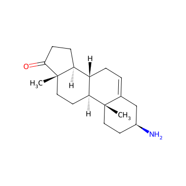 C[C@]12CC[C@H](N)CC1=CC[C@@H]1[C@@H]2CC[C@]2(C)C(=O)CC[C@@H]12